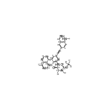 CNc1ccc(C#Cc2cc(-c3ncnc(C(C)=N)c3NC)cc(NC(=O)C(C)N(C)C(=O)OC(C)(C)C)n2)cc1C=N